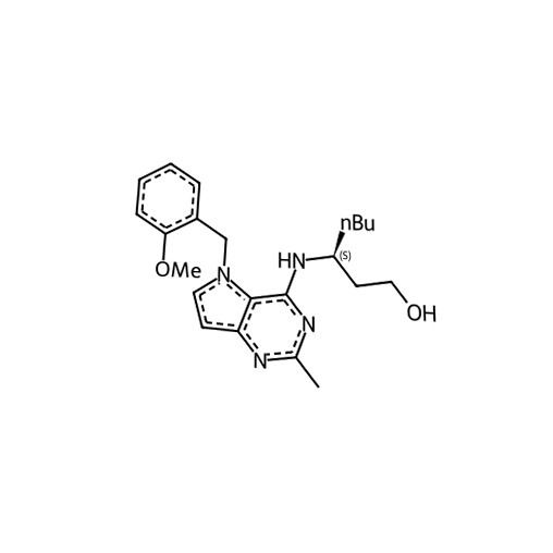 CCCC[C@@H](CCO)Nc1nc(C)nc2ccn(Cc3ccccc3OC)c12